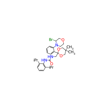 CC(C)c1cccc(C(C)C)c1NC(=O)NCC1(c2ccccc2N2CCOCC2Br)OCC(C)(C)CO1